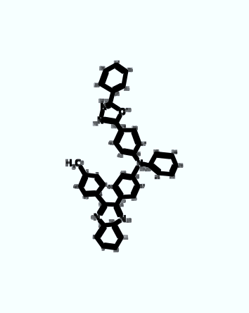 Cc1ccc(-c2nc3ccccc3nc2-c2ccc(N(c3ccccc3)c3ccc(-c4nnc(-c5ccccc5)o4)cc3)cc2)cc1